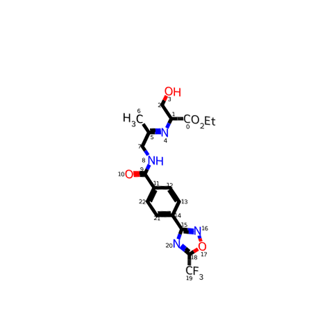 CCOC(=O)C(CO)N=C(C)CNC(=O)c1ccc(-c2noc(C(F)(F)F)n2)cc1